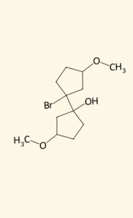 COC1CCC(O)(C2(Br)CCC(OC)C2)C1